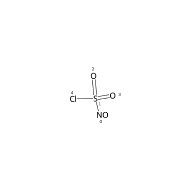 O=NS(=O)(=O)Cl